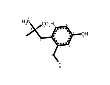 C[C@](N)(Cc1ccc(O)cc1CF)C(=O)O